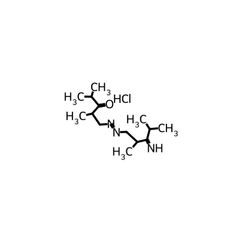 CC(C)C(=N)C(C)CN=NCC(C)C(=O)C(C)C.Cl